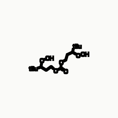 CC(C)(C)C(CCOC(=O)OCCC(OO)C(C)(C)C)OO